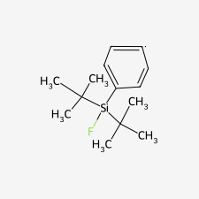 CC(C)(C)[Si](F)(c1cc[c]cc1)C(C)(C)C